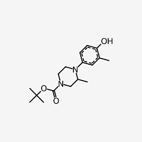 Cc1cc(N2CCN(C(=O)OC(C)(C)C)CC2C)ccc1O